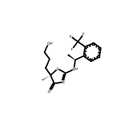 C[C@H](NC1=NC(=O)[C@@](C)(CCCO)S1)c1ccccc1C(F)(F)F